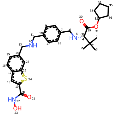 CC(C)(C)[C@H](NCc1ccc(CNCc2ccc3cc(C(=O)NO)sc3c2)cc1)C(=O)OC1CCCC1